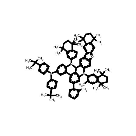 Cc1ccccc1-c1cc2c3c(c1)N(c1cc4c(cc1C)C(C)(C)CCC4(C)C)c1cc4oc5cc6c(cc5c4cc1C3N(c1ccc3c(c1)C(C)(C)CCC3(C)C)c1ccc(N(c3ccc(C(C)(C)C)cc3)c3ccc(C(C)(C)C)cc3)cc1-2)C(C)(C)CCC6(C)C